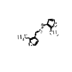 Cc1occc1CSSc1ccoc1C